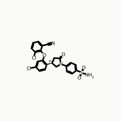 N#Cc1cccc(Cl)c1Oc1cc(Cl)ccc1[C@H]1CC(=O)N(c2ccc(S(N)(=O)=O)cc2)C1